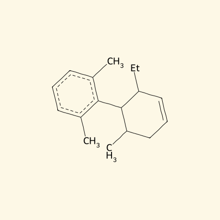 CCC1C=CCC(C)C1c1c(C)cccc1C